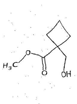 COC(=O)C1(CO)CCC1